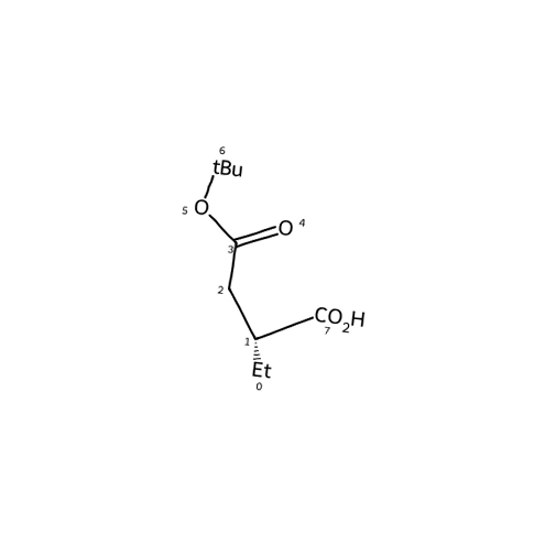 CC[C@H](CC(=O)OC(C)(C)C)C(=O)O